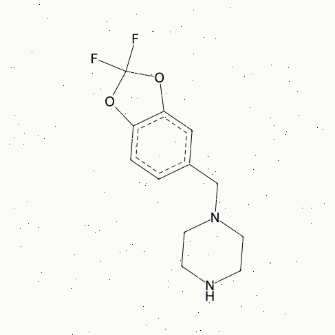 FC1(F)Oc2ccc(CN3CCNCC3)cc2O1